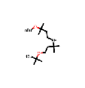 CCCCOC(C)(C)CCBC(C)(C)CCOC(C)(C)C(C)(C)C